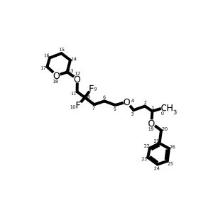 CC(CCOCCCC(F)(F)COC1CCCCO1)OCc1ccccc1